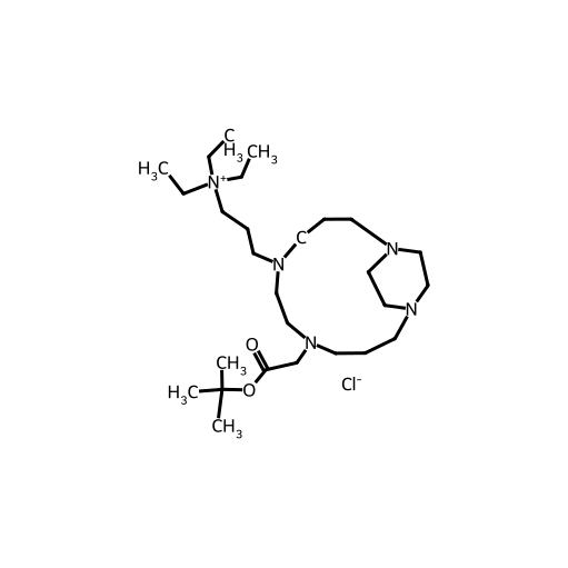 CC[N+](CC)(CC)CCCN1CCCN2CCN(CCCN(CC(=O)OC(C)(C)C)CC1)CC2.[Cl-]